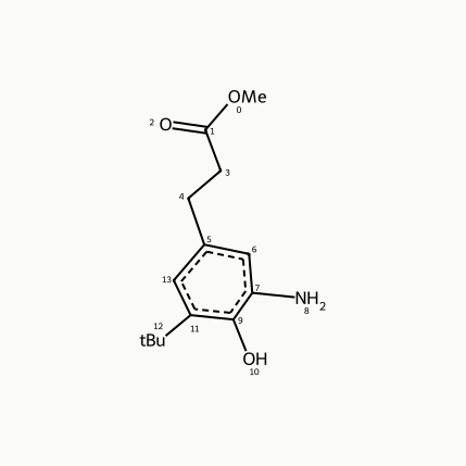 COC(=O)CCc1cc(N)c(O)c(C(C)(C)C)c1